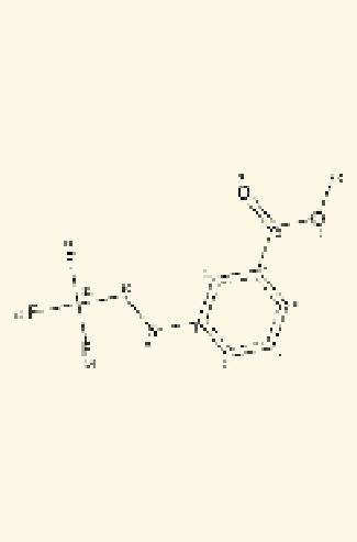 COC(=O)c1cccc(SCC(F)(F)F)c1